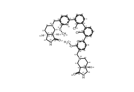 COc1nc(-c2cccc(-c3cccc(-c4ccc(CN5CC[C@@H]6CNC(=O)[C@@H]6C5)c(OC)n4)c3Cl)c2Cl)ccc1CN1CC[C@@H]2CNC(=O)C2C1